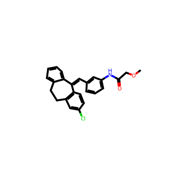 COCC(=O)Nc1cccc(C=C2c3ccccc3CCc3cc(Cl)ccc32)c1